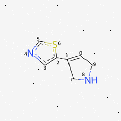 C1=C(c2cncs2)CNC1